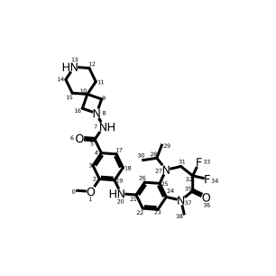 COc1cc(C(=O)NN2CC3(CCNCC3)C2)ccc1Nc1ccc2c(c1)N(C(C)C)CC(F)(F)C(=O)N2C